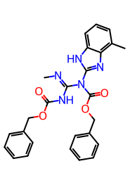 CN=C(NC(=O)OCc1ccccc1)N(C(=O)OCc1ccccc1)c1nc2c(C)cccc2[nH]1